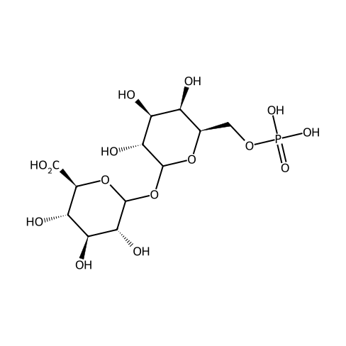 O=C(O)[C@H]1OC(OC2O[C@H](COP(=O)(O)O)[C@H](O)[C@H](O)[C@H]2O)[C@H](O)[C@@H](O)[C@@H]1O